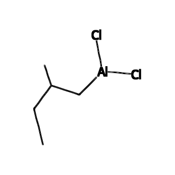 CCC(C)[CH2][Al]([Cl])[Cl]